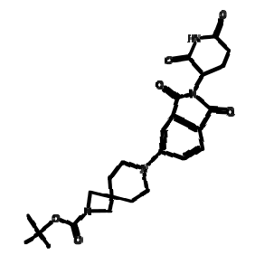 CC(C)(C)OC(=O)N1CC2(CCN(c3ccc4c(c3)C(=O)N(C3CCC(=O)NC3=O)C4=O)CC2)C1